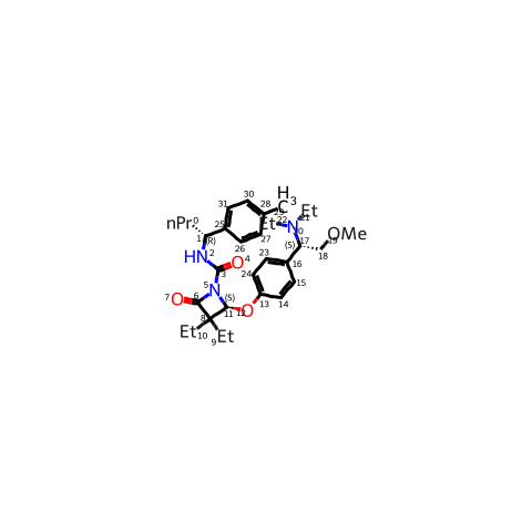 CCC[C@@H](NC(=O)N1C(=O)C(CC)(CC)[C@@H]1Oc1ccc([C@@H](COC)N(CC)CC)cc1)c1ccc(C)cc1